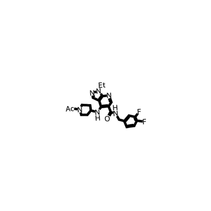 CCn1ncc2c(NC3CCN(C(C)=O)CC3)c(C(=O)NCc3ccc(F)c(F)c3)cnc21